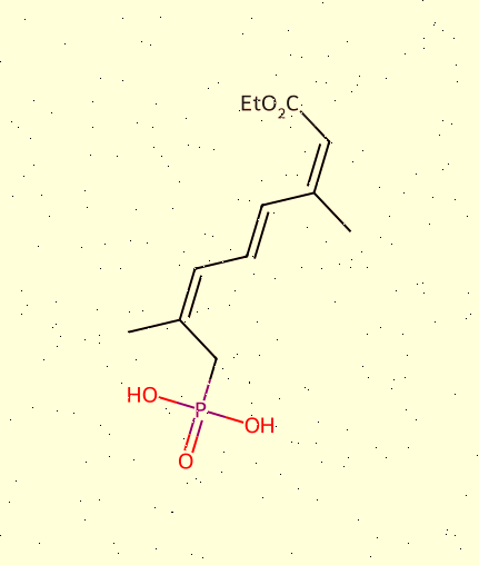 CCOC(=O)C=C(C)C=CC=C(C)CP(=O)(O)O